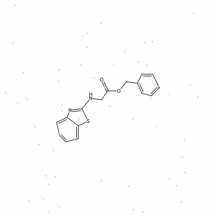 O=C(CNc1nc2ccccc2s1)OCc1ccccc1